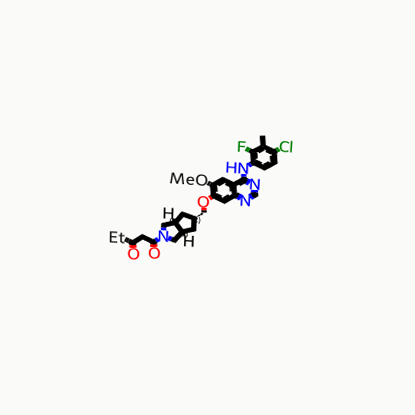 CCC(=O)CC(=O)N1C[C@H]2C[C@@H](COc3cc4ncnc(Nc5ccc(Cl)c(C)c5F)c4cc3OC)C[C@H]2C1